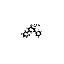 O=C(O)c1cc(-c2ccccc2)nc(-c2ccccn2)c1